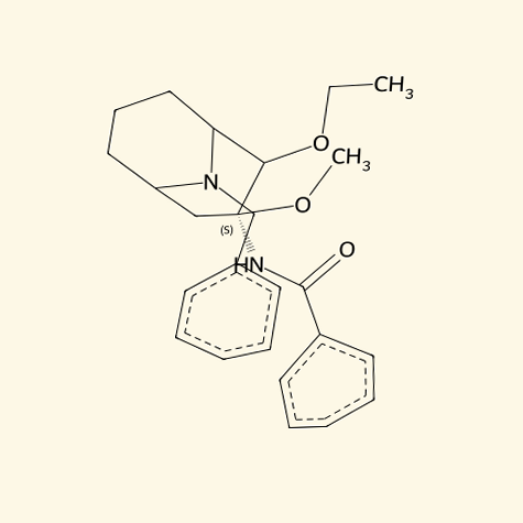 CCOC1C2CCCC(C[C@]1(NC(=O)c1ccccc1)OC)N2Cc1ccccc1